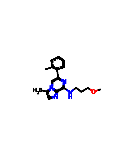 Bc1cnc2c(NCCCOC)nc(-c3ccccc3C)cn12